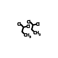 CCC(Cl)Cl.CCC(Cl)Cl